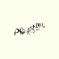 Nc1cccc(N2CCc3nc(-c4cnc(N5CCCC(F)C5)nc4)sc3C2=O)c1F